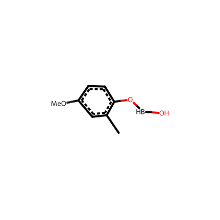 COc1ccc(OBO)c(C)c1